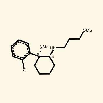 CN[C@@]1(c2ccccc2Cl)CCCC[C@@H]1NCCCOC